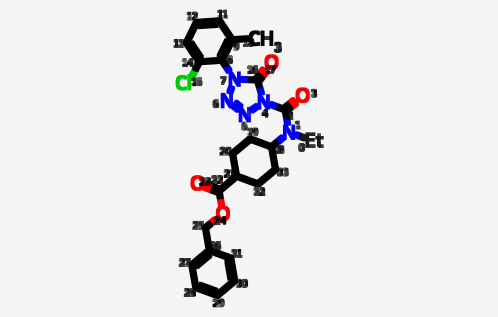 CCN(C(=O)n1nnn(-c2c(C)cccc2Cl)c1=O)C1CCC(C(=O)OCc2ccccc2)CC1